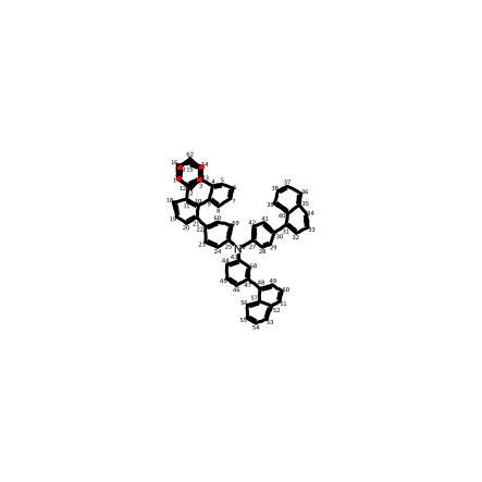 c1ccc(-c2ccccc2-c2c(-c3ccccc3)cccc2-c2ccc(N(c3ccc(-c4cccc5ccccc45)cc3)c3cccc(-c4cccc5ccccc45)c3)cc2)cc1